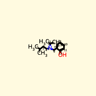 CC(C)CCN(Cc1ccccc1O)C(C)C